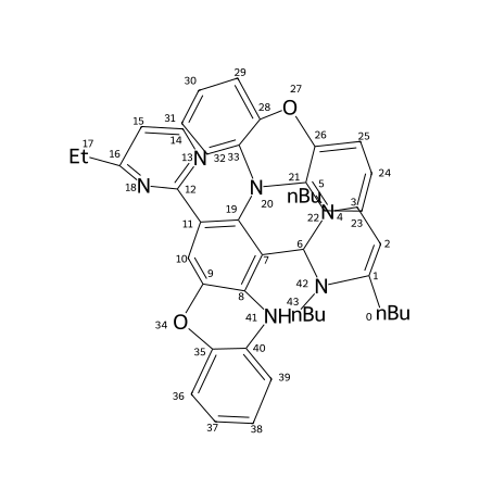 CCCCC1=CCN(CCCC)C(c2c3c(cc(-c4nccc(CC)n4)c2N2c4ccccc4Oc4ccccc42)Oc2ccccc2N3)N1CCCC